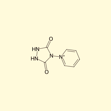 O=c1[nH][nH]c(=O)n1-[n+]1ccccc1